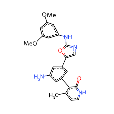 COc1cc(Nc2ncc(-c3cc(N)cc(-c4c(C)cc[nH]c4=O)c3)o2)cc(OC)c1